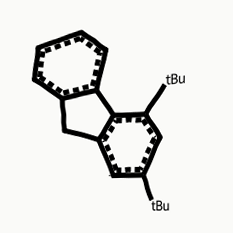 CC(C)(C)c1[c]c2c(c(C(C)(C)C)c1)-c1ccccc1C2